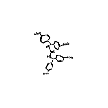 CNc1ccc(C(NC(=O)NC(c2ccc(NC)cc2)c2ccc(NC)cc2)c2ccc(NC)cc2)cc1